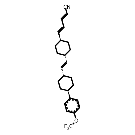 N#CC=CC=C[C@H]1CC[C@H](/C=C/[C@H]2CC[C@H](c3ccc(OC(F)(F)F)cc3)CC2)CC1